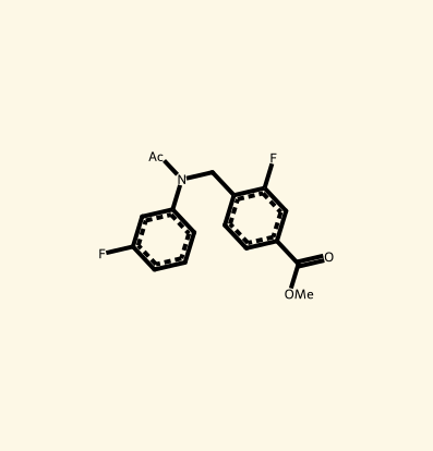 COC(=O)c1ccc(CN(C(C)=O)c2cccc(F)c2)c(F)c1